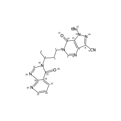 CC(CCn1cnc2c(C#N)nn(C(C)(C)C)c2c1=O)n1cnc2ncccc2c1=O